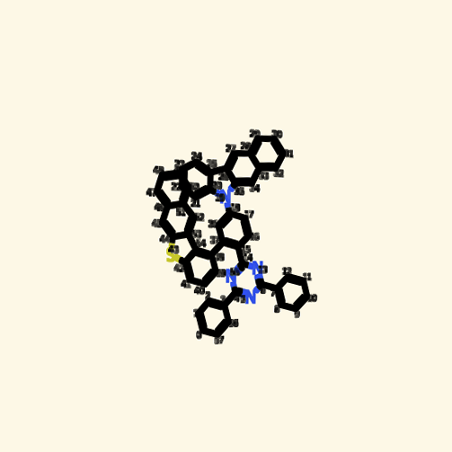 c1ccc(-c2nc(-c3ccccc3)nc(-c3ccc(-n4c5ccccc5c5cc6ccccc6cc54)cc3-c3cccc4sc5cc6ccccc6cc5c34)n2)cc1